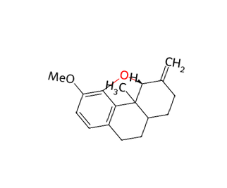 C=C1CCC2CCc3ccc(OC)c4c3C2(C)[C@@H]1O4